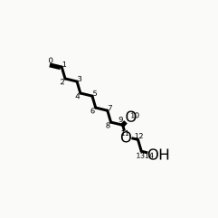 C=CCCCCCCCC(=O)OCCO